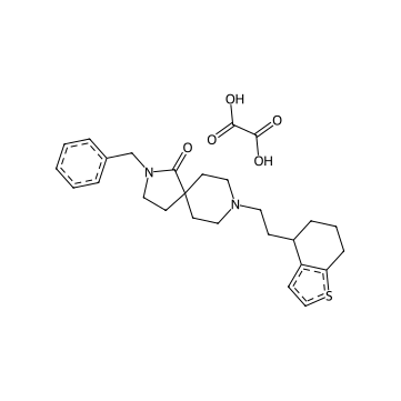 O=C(O)C(=O)O.O=C1N(Cc2ccccc2)CCC12CCN(CCC1CCCc3sccc31)CC2